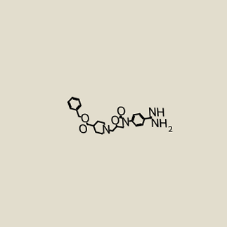 N=C(N)c1ccc(N2CC(CN3CCC(C(=O)OCc4ccccc4)CC3)OC2=O)cc1